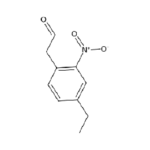 CCc1ccc(CC=O)c([N+](=O)[O-])c1